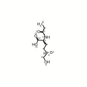 CCC(=O)NC(=CC[PH](=O)CO)C(=O)O